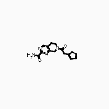 NC(=O)c1n[c]c2c(n1)CN(C(=O)CC1CCCC1)CC2